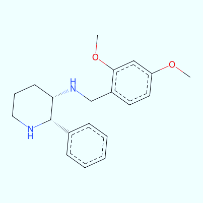 COc1ccc(CN[C@H]2CCCN[C@H]2c2ccccc2)c(OC)c1